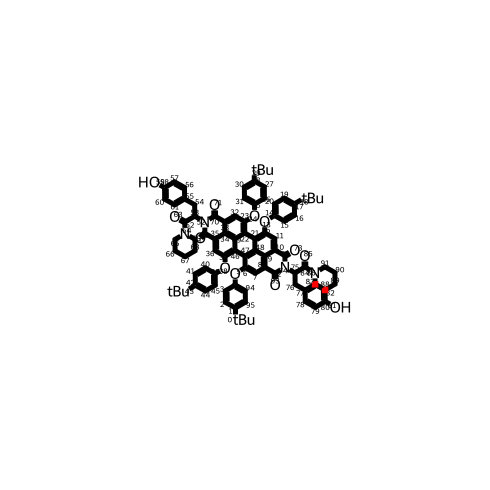 CC(C)(C)c1ccc(Oc2cc3c4c(cc(Oc5ccc(C(C)(C)C)cc5)c5c6c(Oc7ccc(C(C)(C)C)cc7)cc7c8c(cc(Oc9ccc(C(C)(C)C)cc9)c(c2c45)c86)C(=O)N(C(Cc2ccc(O)cc2)C(=O)N2CCCCC2)C7=O)C(=O)N(C(Cc2ccc(O)cc2)C(=O)N2CCCCC2)C3=O)cc1